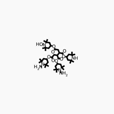 CC1(C)CC(OC(=O)C(CC(=O)OC2CC(C)(C)N(O)C(C)(C)C2)C(CC(=O)OC2CC(C)(C)N(N)C(C)(C)C2)C(=O)OC2CC(C)(C)N(N)C(C)(C)C2)CC(C)(C)N1